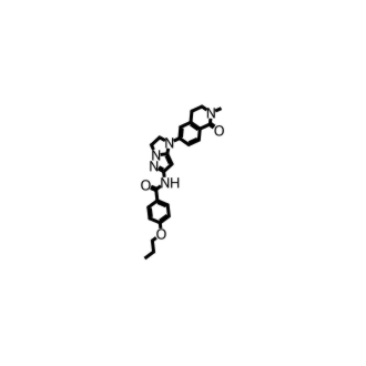 CCCOc1ccc(C(=O)Nc2cc3n(n2)CCN3c2ccc3c(c2)CCN(C)C3=O)cc1